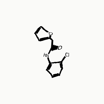 O=C(Nc1ccccc1Cl)c1ccco1